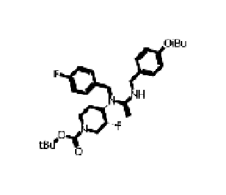 C=C(NCc1ccc(OCC(C)C)cc1)N(Cc1ccc(F)cc1)[C@H]1CCN(C(=O)OC(C)(C)C)C[C@H]1F